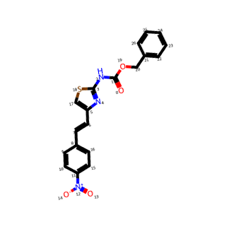 O=C(Nc1nc(/C=C/c2ccc([N+](=O)[O-])cc2)cs1)OCc1ccccc1